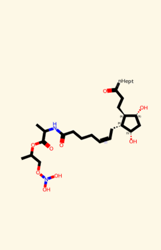 CCCCCCCC(=O)CC[C@@H]1[C@@H](C/C=C\CCCC(=O)NC(C)C(=O)OC(C)CON(O)O)[C@@H](O)C[C@H]1O